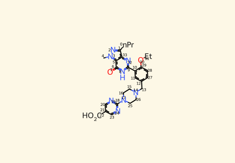 CCCc1nn(C)c2c(=O)[nH]c(-c3cc(CN4CCN(c5ncc(C(=O)O)cn5)CC4)ccc3OCC)nc12